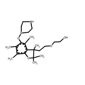 Cc1c(C)c2c(c(C)c1ON1CCNCC1)C(C)(CCOCCO)C(C)(C)O2